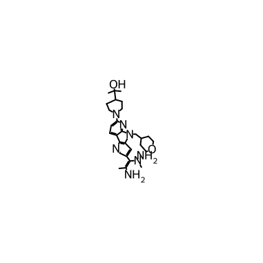 C/C(N)=C(\c1cnc2c3ccc(N4CCC(C(C)(C)O)CC4)nc3n(CC3CCOCC3)c2c1)N(C)N